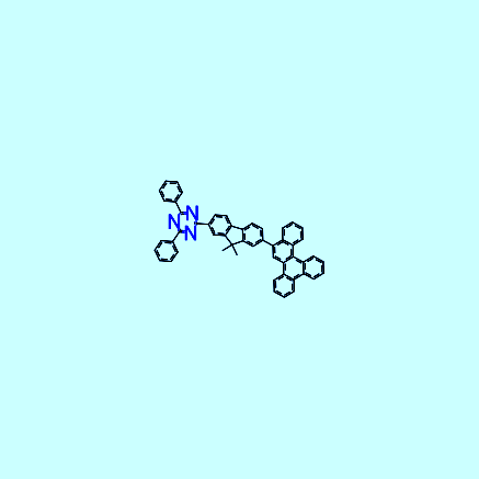 CC1(C)c2cc(-c3nc(-c4ccccc4)nc(-c4ccccc4)n3)ccc2-c2ccc(-c3cc4c5ccccc5c5ccccc5c4c4ccccc34)cc21